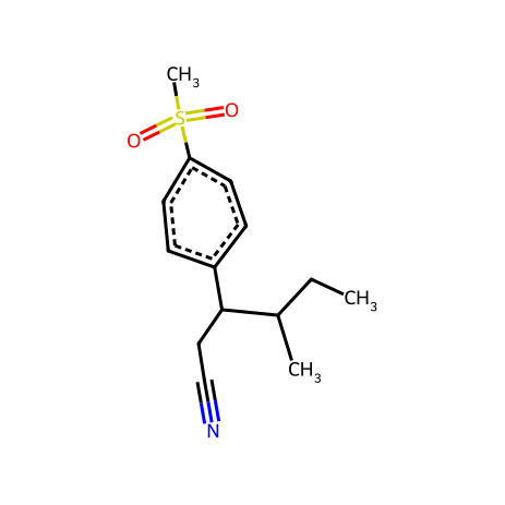 CCC(C)C(CC#N)c1ccc(S(C)(=O)=O)cc1